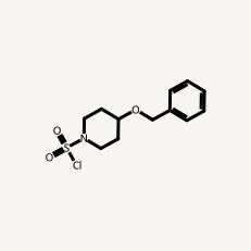 O=S(=O)(Cl)N1CCC(OCc2ccccc2)CC1